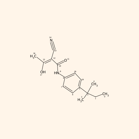 CCC(C)(C)c1ccc(NC(=O)C(C#N)=C(C)O)cc1